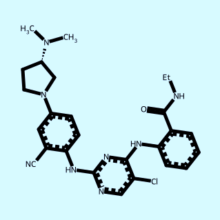 CCNC(=O)c1ccccc1Nc1nc(Nc2ccc(N3CC[C@H](N(C)C)C3)cc2C#N)ncc1Cl